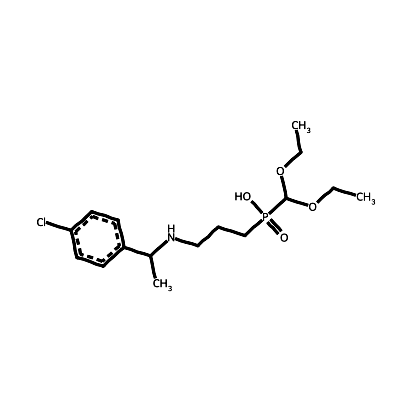 CCOC(OCC)P(=O)(O)CCCNC(C)c1ccc(Cl)cc1